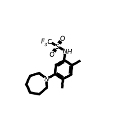 Cc1cc(C)c(N2CCCCCC2)cc1NS(=O)(=O)C(F)(F)F